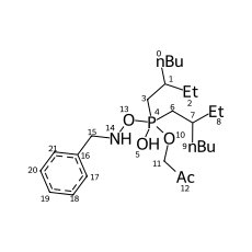 CCCCC(CC)CP(O)(CC(CC)CCCC)(OCC(C)=O)ONCc1ccccc1